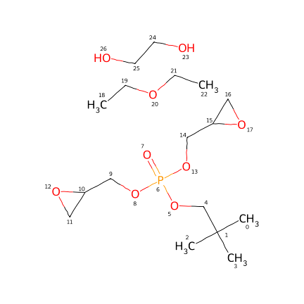 CC(C)(C)COP(=O)(OCC1CO1)OCC1CO1.CCOCC.OCCO